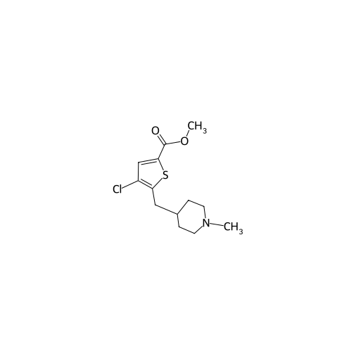 COC(=O)c1cc(Cl)c(CC2CCN(C)CC2)s1